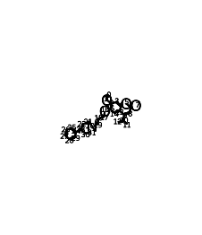 COc1cc2oc(=O)cc(C(C)C)c2cc1OCCCN1CCC(c2ccccc2)CC1